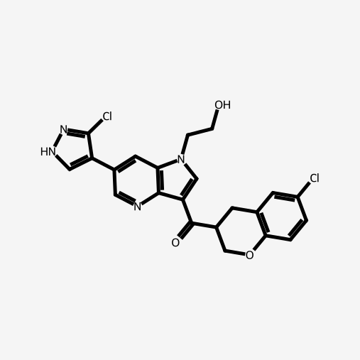 O=C(c1cn(CCO)c2cc(-c3c[nH]nc3Cl)cnc12)C1COc2ccc(Cl)cc2C1